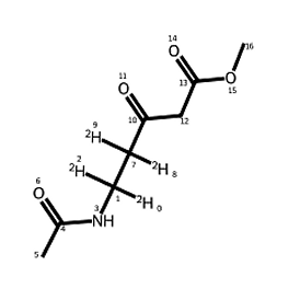 [2H]C([2H])(NC(C)=O)C([2H])([2H])C(=O)CC(=O)OC